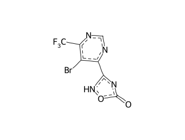 O=c1nc(-c2ncnc(C(F)(F)F)c2Br)[nH]o1